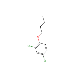 [CH2]CCCOc1ccc(Cl)cc1Cl